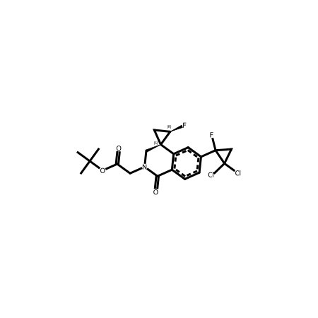 CC(C)(C)OC(=O)CN1C[C@]2(C[C@H]2F)c2cc(C3(F)CC3(Cl)Cl)ccc2C1=O